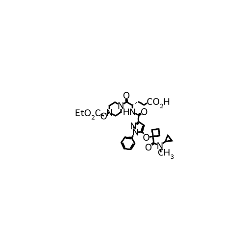 CCOC(=O)ON1CCN(C(=O)[C@H](CCC(=O)O)NC(=O)c2cc(OC3(C(=O)N(C)C4CC4)CCC3)n(-c3ccccc3)n2)CC1